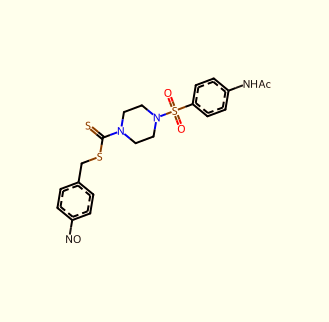 CC(=O)Nc1ccc(S(=O)(=O)N2CCN(C(=S)SCc3ccc(N=O)cc3)CC2)cc1